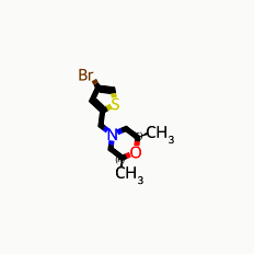 C[C@@H]1CN(Cc2cc(Br)cs2)C[C@H](C)O1